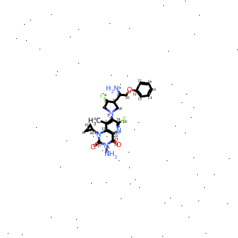 Cc1c(N2CC(F)C(C(N)COc3ccccc3)C2)c(F)nc2c(=O)n(N)c(=O)n(C3CC3)c12